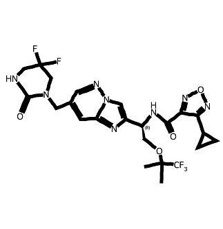 CC(C)(OC[C@H](NC(=O)c1nonc1C1CC1)c1cn2ncc(CN3CC(F)(F)CNC3=O)cc2n1)C(F)(F)F